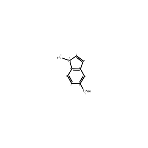 COc1ccc2c(ccn2C(C)(C)C)c1